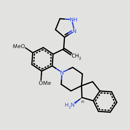 C=C(C1=NNCC1)c1cc(OC)cc(OC)c1N1CCC2(CC1)Cc1ccccc1[C@H]2N